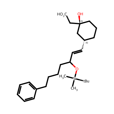 CC(C)(C)[Si](C)(C)OC(C=C[C@H]1CCC[C@@](O)(CC(=O)O)C1)CCCCc1ccccc1